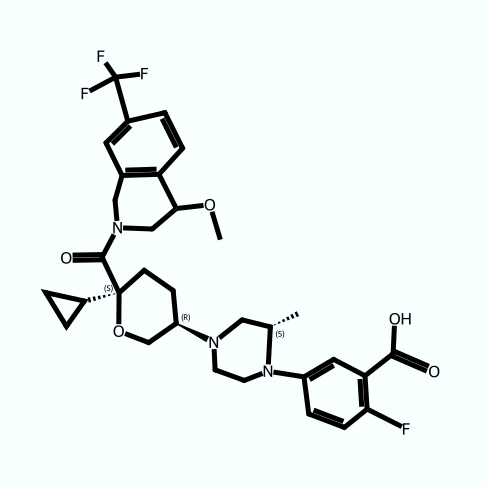 COC1CN(C(=O)[C@@]2(C3CC3)CC[C@@H](N3CCN(c4ccc(F)c(C(=O)O)c4)[C@@H](C)C3)CO2)Cc2cc(C(F)(F)F)ccc21